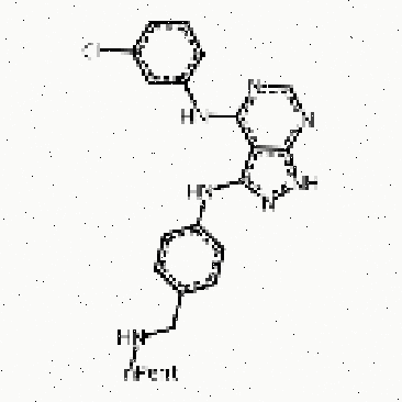 CCCCCNCc1ccc(Nc2n[nH]c3ncnc(Nc4cccc(Cl)c4)c23)cc1